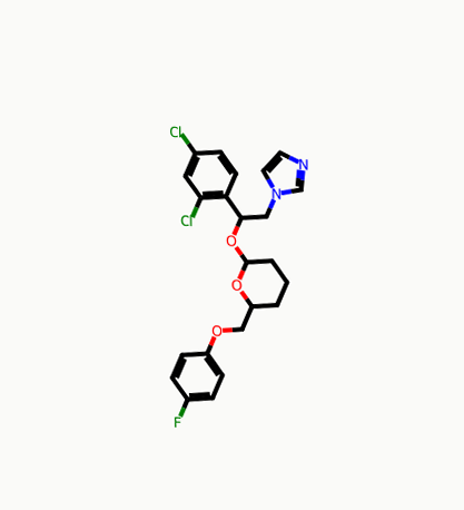 Fc1ccc(OCC2CCCC(OC(Cn3ccnc3)c3ccc(Cl)cc3Cl)O2)cc1